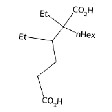 CCCCCCC(CC)(C(=O)O)C(CC)CCC(=O)O